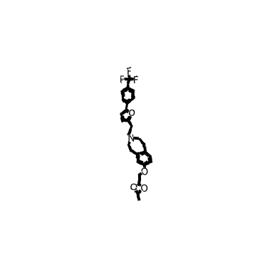 CC1OC(COc2ccc3c(c2)CCN(CCc2ccc(-c4ccc(C(F)(F)F)cc4)o2)CC3)O1